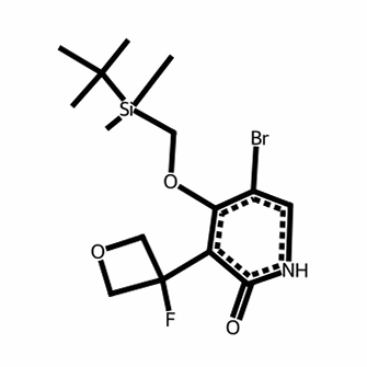 CC(C)(C)[Si](C)(C)COc1c(Br)c[nH]c(=O)c1C1(F)COC1